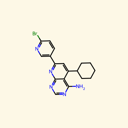 Nc1ncnc2nc(-c3ccc(Br)nc3)cc(C3CCCCC3)c12